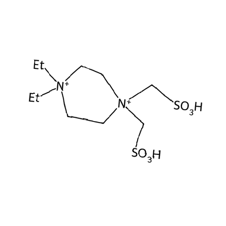 CC[N+]1(CC)CC[N+](CS(=O)(=O)O)(CS(=O)(=O)O)CC1